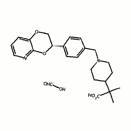 CC(C)(C(=O)O)C1CCN(Cc2ccc([C@H]3COc4cccnc4O3)cc2)CC1.O=CO